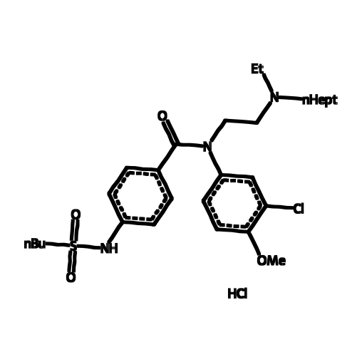 CCCCCCCN(CC)CCN(C(=O)c1ccc(NS(=O)(=O)CCCC)cc1)c1ccc(OC)c(Cl)c1.Cl